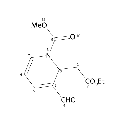 CCOC(=O)CC1C(C=O)=CC=CN1C(=O)OC